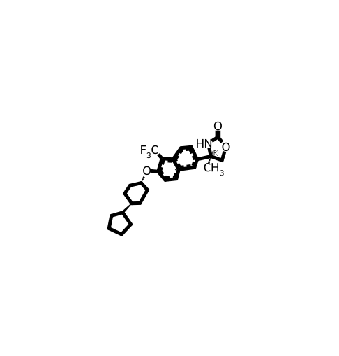 C[C@@]1(c2ccc3c(C(F)(F)F)c(O[C@H]4CC[C@H](C5CCCC5)CC4)ccc3c2)COC(=O)N1